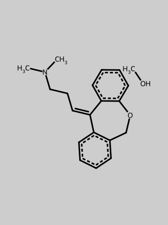 CN(C)CCC=C1c2ccccc2COc2ccccc21.CO